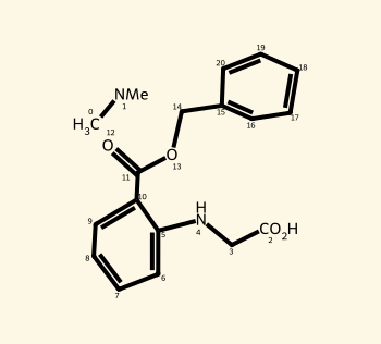 CNC.O=C(O)CNc1ccccc1C(=O)OCc1ccccc1